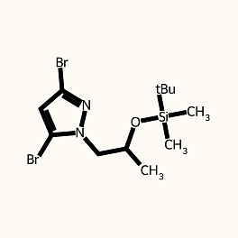 CC(Cn1nc(Br)cc1Br)O[Si](C)(C)C(C)(C)C